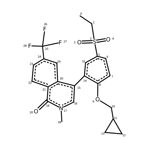 CCS(=O)(=O)c1ccc(OCC2CC2)c(-c2cn(C)c(=O)c3ccc(C(F)(F)F)cc23)c1